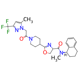 Cc1cc(C(F)(F)F)nn1CC(=O)N1CCC(C2=NC(C(=O)N(C)[C@@H]3CCCc4ccccc43)CO2)CC1